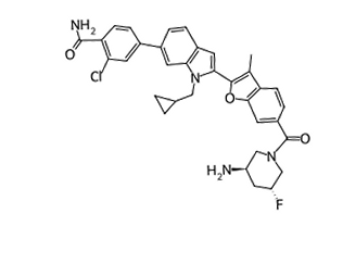 Cc1c(-c2cc3ccc(-c4ccc(C(N)=O)c(Cl)c4)cc3n2CC2CC2)oc2cc(C(=O)N3C[C@H](N)C[C@@H](F)C3)ccc12